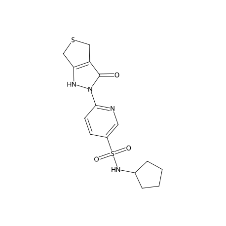 O=c1c2c([nH]n1-c1ccc(S(=O)(=O)NC3CCCC3)cn1)CSC2